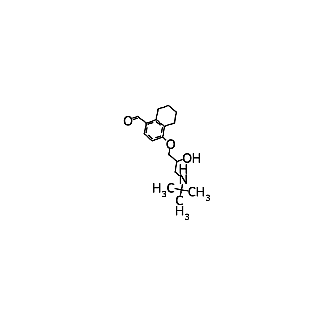 CC(C)(C)NCC(O)COc1ccc(C=O)c2c1CCCC2